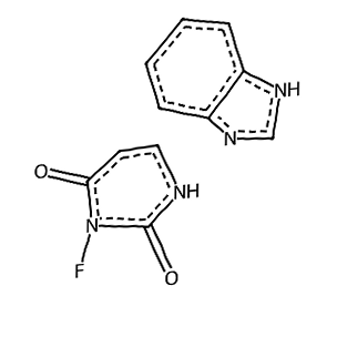 O=c1cc[nH]c(=O)n1F.c1ccc2[nH]cnc2c1